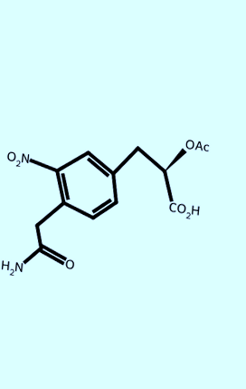 CC(=O)O[C@H](Cc1ccc(CC(N)=O)c([N+](=O)[O-])c1)C(=O)O